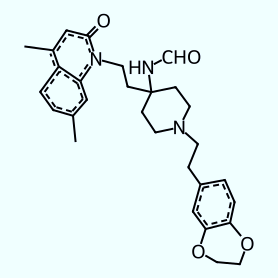 Cc1ccc2c(C)cc(=O)n(CCC3(NC=O)CCN(CCc4ccc5c(c4)OCCO5)CC3)c2c1